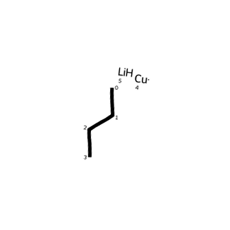 CCCC.[Cu].[LiH]